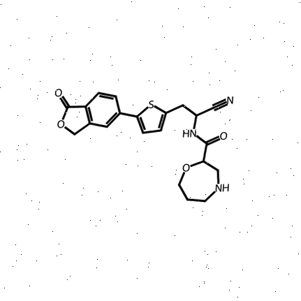 N#CC(Cc1ccc(-c2ccc3c(c2)COC3=O)s1)NC(=O)C1CNCCCO1